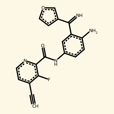 C#Cc1ccnc(C(=O)Nc2ccc(N)c(C(=N)c3ccoc3)c2)c1F